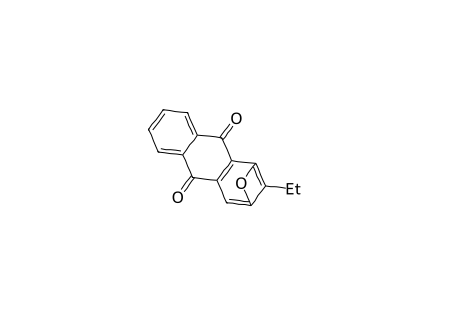 CCc1c2cc3c(c1O2)C(=O)c1ccccc1C3=O